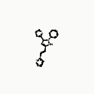 C(=Cc1cccs1)C1=CC(c2cccs2)N(c2ccccc2)N1